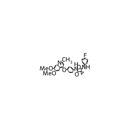 COc1cc2nc(C)cc(Oc3ccc(NC(=O)C4(C(=O)Nc5ccc(F)cc5)CC4)cc3)c2cc1OC